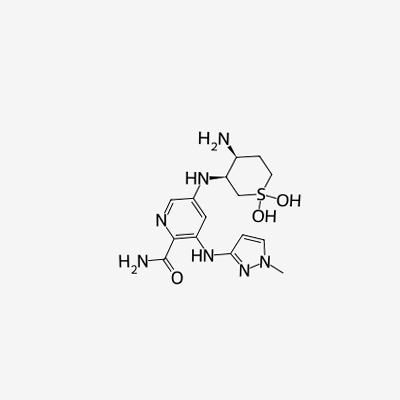 Cn1ccc(Nc2cc(N[C@@H]3CS(O)(O)CC[C@@H]3N)cnc2C(N)=O)n1